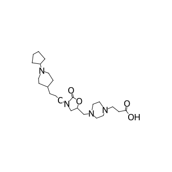 O=C(O)CCN1CCN(CC2CN(CCCC3CCN(C4CCCC4)CC3)C(=O)O2)CC1